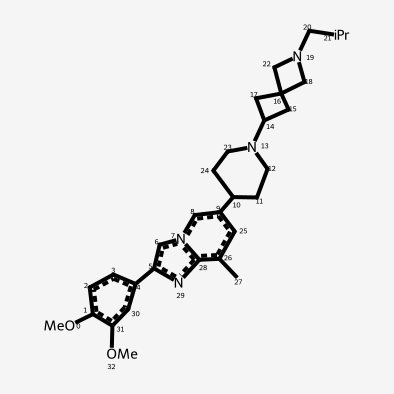 COc1ccc(-c2cn3cc(C4CCN(C5CC6(C5)CN(CC(C)C)C6)CC4)cc(C)c3n2)cc1OC